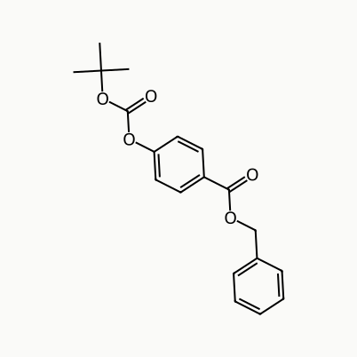 CC(C)(C)OC(=O)Oc1ccc(C(=O)OCc2ccccc2)cc1